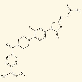 CO/N=C(/N)c1ccc(C(=O)N2CCN(c3ccc(N4C[C@@H](COC(N)=S)OC4=O)cc3F)CC2)cn1